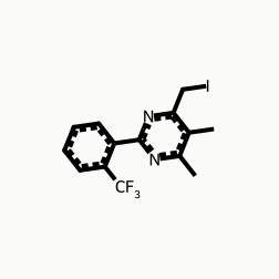 Cc1nc(-c2ccccc2C(F)(F)F)nc(CI)c1C